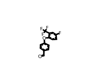 O=Cc1ccc(Oc2ccc(F)cc2C(F)(F)F)cc1